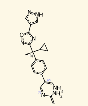 C=C(N)/N=C\C(=C/N)c1ccc([C@](C)(c2noc(-c3cn[nH]c3)n2)C2CC2)cc1